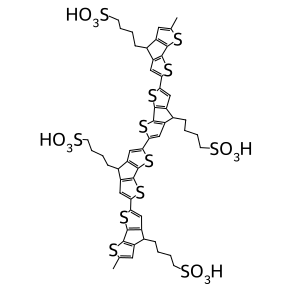 Cc1cc2c(s1)-c1sc(-c3cc4c(s3)-c3sc(-c5cc6c(s5)-c5sc(-c7cc8c(s7)-c7sc(C)cc7C8CCCCS(=O)(=O)O)cc5C6CCCCS(=O)(=O)O)cc3C4CCCCS(=O)(=O)O)cc1C2CCCCS(=O)(=O)O